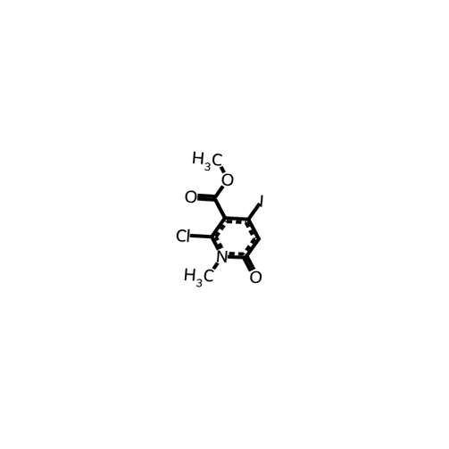 COC(=O)c1c(I)cc(=O)n(C)c1Cl